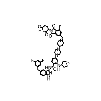 O=C1CCC(N2C(=O)c3cc(CN4CCC(N5CCN(c6ccc(C(=O)Nc7n[nH]c8ccc(Cc9cc(F)cc(F)c9)cc78)c(NC7CCOCC7)c6)CC5)CC4)cc(F)c3C2=O)C(=O)N1